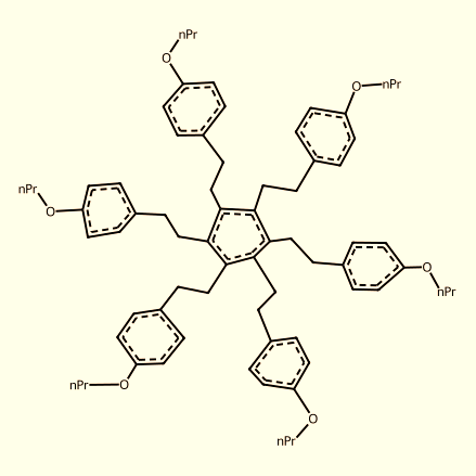 CCCOc1ccc(CCc2c(CCc3ccc(OCCC)cc3)c(CCc3ccc(OCCC)cc3)c(CCc3ccc(OCCC)cc3)c(CCc3ccc(OCCC)cc3)c2CCc2ccc(OCCC)cc2)cc1